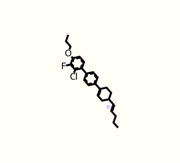 CCC/C=C/C1CC=C(c2ccc(-c3ccc(OCCC)c(F)c3Cl)cc2)CC1